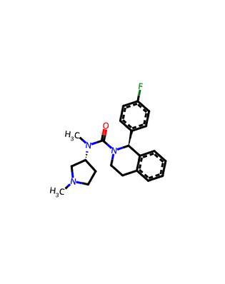 CN1CC[C@@H](N(C)C(=O)N2CCc3ccccc3[C@@H]2c2ccc(F)cc2)C1